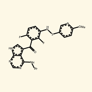 COc1ccc(SNc2ccc(F)c(C(=O)c3c[nH]c4ncnc(NC(C)C)c34)c2F)cn1